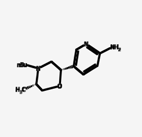 CCCCN1C[C@H](c2ccc(N)nc2)OC[C@@H]1C